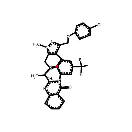 CC(C)Oc1ccc(C(F)(F)F)cc1-n1c(CN2CCc3c(COc4ccc(Cl)cc4)nn(C)c3C2)nc2ccccc2c1=O